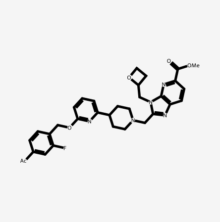 COC(=O)c1ccc2nc(CN3CCC(c4cccc(OCc5ccc(C(C)=O)cc5F)n4)CC3)n(CC3CCO3)c2n1